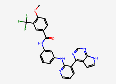 COc1ccc(C(=O)Nc2cccc(Nc3ncccc3-c3ncnc4[nH]ccc34)c2)cc1C(F)(F)F